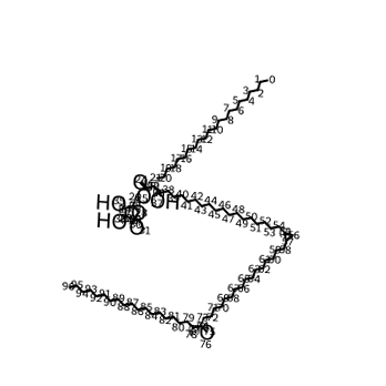 CCCCCCCCCCCCCCCCCCCCCC[C@@H](C(=O)OC[C@H]1O[C@H](OC)[C@@H](O)[C@@H]1O)[C@H](O)CCCCCCCCCCCCCCCCC[C@H]1CC1CCCCCCCCCCCCCCCC[C@@H](OC)[C@@H](C)CCCCCCCCCCCCCCCCCC